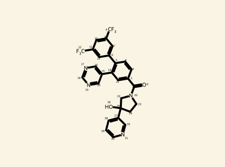 O=C(c1ccc(-c2cc(C(F)(F)F)cc(C(F)(F)F)c2)c(-c2cncnc2)c1)N1CCC(O)(c2cccnc2)C1